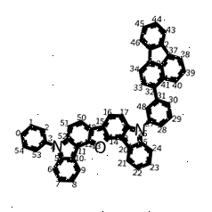 c1ccc(-n2c3ccccc3c3c4oc5c(ccc6c5c5ccccc5n6-c5cccc(-c6ccc7c8c(cccc68)-c6ccccc6-7)c5)c4ccc32)cc1